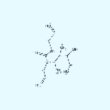 C=CCOC(=O)OCC=C.CCCC.OCCO